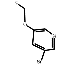 FCOc1cncc(Br)c1